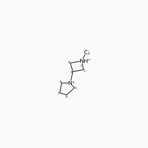 [CH2-][NH+]1CC(N2CCCC2)C1